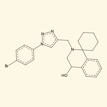 OC1CN(Cc2cn(-c3ccc(Br)cc3)nn2)C2(CCCCC2)c2ccccc21